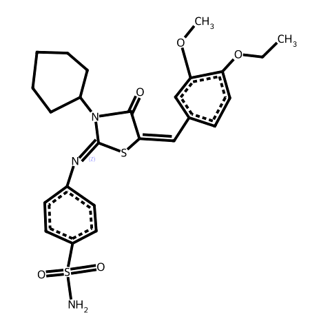 CCOc1ccc(C=C2S/C(=N\c3ccc(S(N)(=O)=O)cc3)N(C3CCCCC3)C2=O)cc1OC